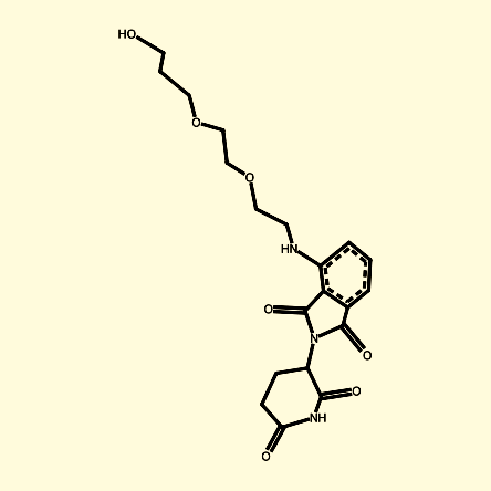 O=C1CCC(N2C(=O)c3cccc(NCCOCCOCCCO)c3C2=O)C(=O)N1